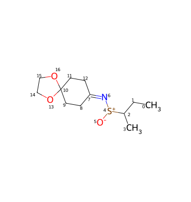 CCC(C)[S+]([O-])N=C1CCC2(CC1)OCCO2